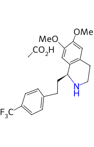 CC(=O)O.COc1cc2c(cc1OC)[C@H](CCc1ccc(C(F)(F)F)cc1)NCC2